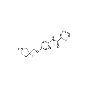 O=C(Nc1ccc(OCC2(F)CCNC2)cn1)c1ccccc1